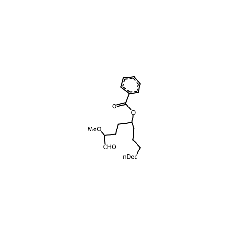 CCCCCCCCCCCCCC(CCC(C=O)OC)OC(=O)c1ccccc1